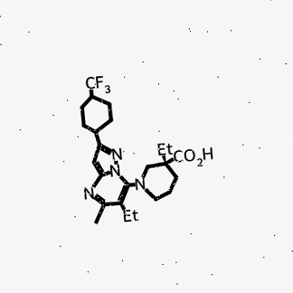 CCc1c(C)nc2cc(C3CCC(C(F)(F)F)CC3)nn2c1N1CCC[C@@](CC)(C(=O)O)C1